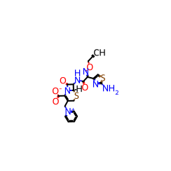 C#CCON=C(C(=O)NC1C(=O)N2C(C(=O)[O-])=C(C[n+]3ccccc3)CS[C@@H]12)c1csc(N)n1